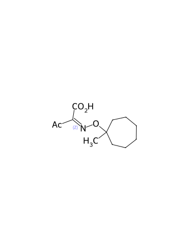 CC(=O)/C(=N/OC1(C)CCCCCC1)C(=O)O